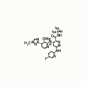 [2H]C([2H])([2H])NC(=O)c1nnc(Nc2ccc(F)cn2)cc1Nc1nccc(-c2ncn(C)n2)c1OC